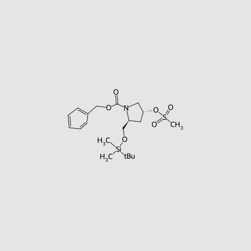 CC(C)(C)[Si](C)(C)OC[C@@H]1C[C@@H](OS(C)(=O)=O)CN1C(=O)OCc1ccccc1